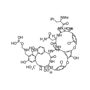 CN[C@H](CC(C)C)C(=O)N[C@H]1C(=O)N[C@@H](CC(N)=O)C(=O)N[C@H]2C(=O)NC3C(=O)N[C@H](C(=O)N[C@H](C(=O)O)c4cc(O)c(CNCOP(O)O)c(O)c4-c4cc3ccc4O)[C@H](O)c3ccc(c(Cl)c3)Oc3cc2cc(c3O)Oc2ccc(cc2Cl)[C@H]1O